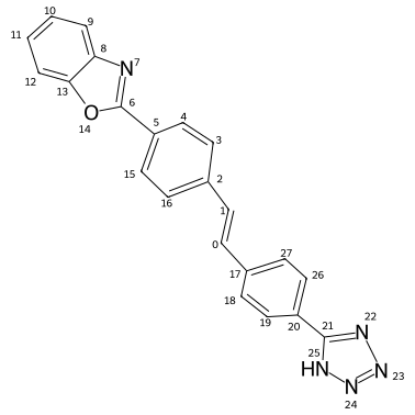 C(=C\c1ccc(-c2nc3ccccc3o2)cc1)/c1ccc(-c2nnn[nH]2)cc1